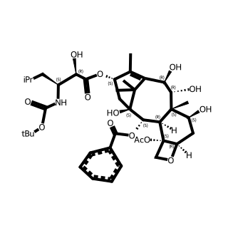 CC(=O)O[C@@]12CO[C@@H]1C[C@H](O)[C@]1(C)[C@@H]2[C@H](OC(=O)c2ccccc2)[C@]2(O)C[C@H](OC(=O)[C@H](O)[C@H](CC(C)C)NC(=O)OC(C)(C)C)C(C)=C([C@@H](O)[C@@H]1O)C2(C)C